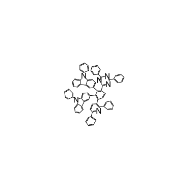 c1ccc(-c2ccc(-c3ccc(-c4nc(-c5ccccc5)nc(-c5ccccc5)n4)c(-c4ccc5c(c4)c4ccccc4n5-c4ccccc4)c3-c3ccc4c(c3)c3ccccc3n4-c3ccccc3)c(-c3ccccc3)n2)cc1